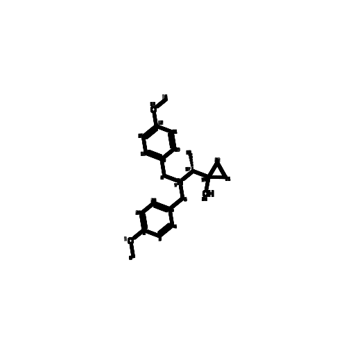 COc1ccc(CN(Cc2ccc(OC)cc2)[C@H](C)C2(O)CC2)cc1